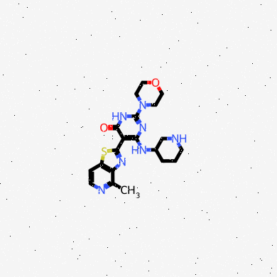 Cc1nccc2sc(-c3c(NC4CCCNC4)nc(N4CCOCC4)[nH]c3=O)nc12